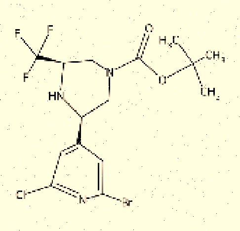 CC(C)(C)OC(=O)N1C[C@@H](c2cc(Cl)nc(Br)c2)N[C@@H](C(F)(F)F)C1